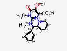 CCOc1c(C(=O)O)nc(N(C)C(c2ccccc2)c2ccccn2)n(C)c1=O